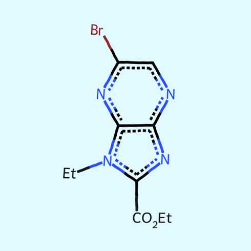 CCOC(=O)c1nc2ncc(Br)nc2n1CC